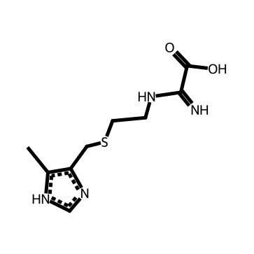 Cc1[nH]cnc1CSCCNC(=N)C(=O)O